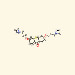 O=c1c2ccc(OCCCN3CCC3)cc2sc2cc(OCCCN3CCC3)ccc12